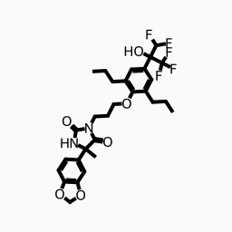 CCCc1cc(C(O)(C(F)F)C(F)(F)F)cc(CCC)c1OCCCN1C(=O)NC(C)(c2ccc3c(c2)OCO3)C1=O